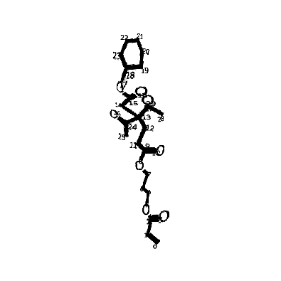 C=CC(=O)OCCCOC(=O)CCC(CC(=O)OC1CCCCC1)(C(C)=O)C(C)=O